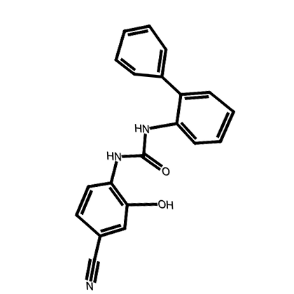 N#Cc1ccc(NC(=O)Nc2ccccc2-c2ccccc2)c(O)c1